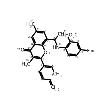 C=C/C=C\C(=C/C)c1oc2c(C(C)Nc3ccc(F)cc3C(=O)O)cc(C)cc2c(=O)c1C